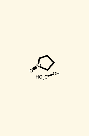 O=C(O)O.O=[N+]1CCCC1